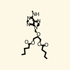 CCCCC(=O)OCC(COC(=O)CCCC)OCn1cnc2c(NC)ncnc21